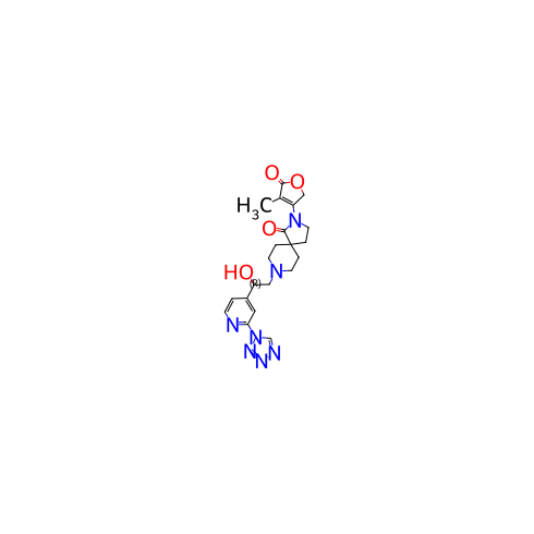 CC1=C(N2CCC3(CCN(C[C@H](O)c4ccnc(-n5cnnn5)c4)CC3)C2=O)COC1=O